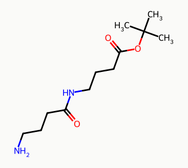 CC(C)(C)OC(=O)CCCNC(=O)CCCN